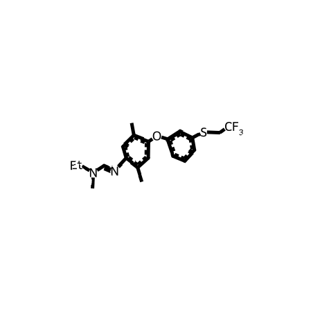 CCN(C)C=Nc1cc(C)c(Oc2cccc(SCC(F)(F)F)c2)cc1C